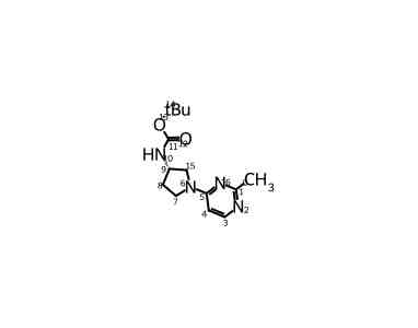 Cc1nccc(N2CC[C@H](NC(=O)OC(C)(C)C)C2)n1